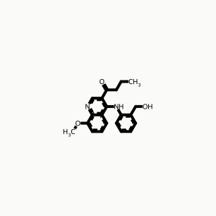 CCCC(=O)c1cnc2c(OC)cccc2c1Nc1ccccc1CO